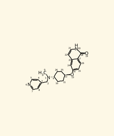 CN(Cc1ccncc1)[C@H]1CC[C@H](Oc2ccc3c(=O)[nH]ccc3c2)CC1